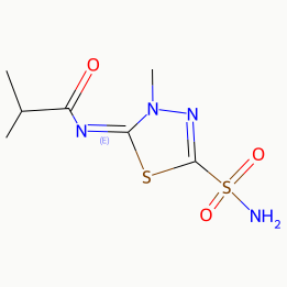 CC(C)C(=O)/N=c1/sc(S(N)(=O)=O)nn1C